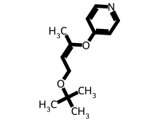 C/C(=C/COC(C)(C)C)Oc1ccncc1